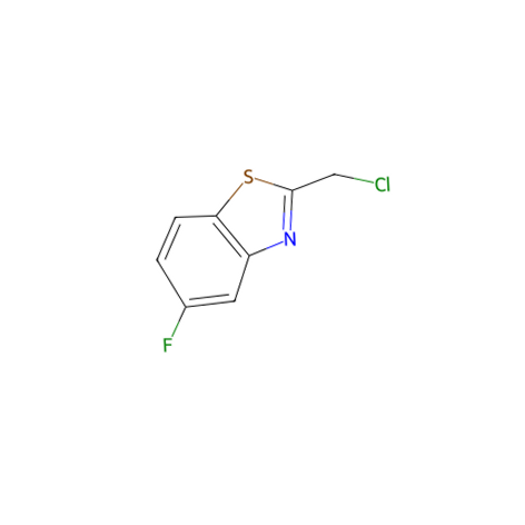 Fc1ccc2sc(CCl)nc2c1